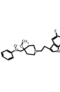 COC1(C[S@+]([O-])c2ccccc2)CCN(CCc2c[nH]c3ccc(F)cc23)CC1